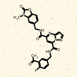 CC(=O)c1cc(CNC(=O)c2cc(C(=O)NCc3ccc4oc(=O)n(C)c4c3)nc3ccnn23)ccc1F